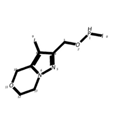 IPOCc1nn2c(c1I)COCC2